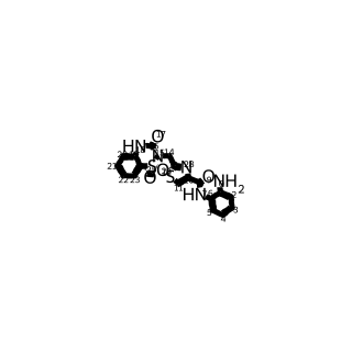 Nc1ccccc1NC(=O)c1csc(CN2C(=O)Nc3ccccc3S2(=O)=O)n1